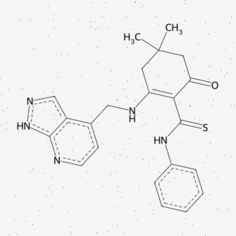 CC1(C)CC(=O)C(C(=S)Nc2ccccc2)=C(NCc2ccnc3[nH]ncc23)C1